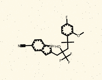 COc1cc(F)ccc1C(C)(C)CC(O)(Cc1cc2cc(C#N)ccc2[nH]1)C(F)(F)F